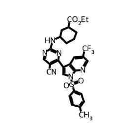 CCOC(=O)C1CCCC(Nc2ncc(C#N)c(-c3cn(S(=O)(=O)c4ccc(C)cc4)c4ncc(C(F)(F)F)cc34)n2)C1